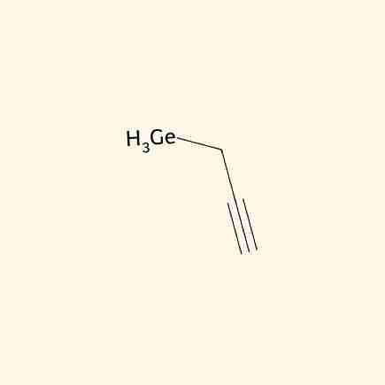 C#C[CH2][GeH3]